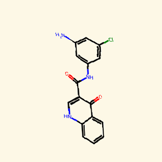 Nc1cc(Cl)cc(NC(=O)c2c[nH]c3ccccc3c2=O)c1